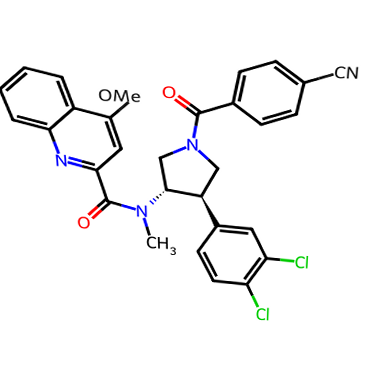 COc1cc(C(=O)N(C)[C@@H]2CN(C(=O)c3ccc(C#N)cc3)C[C@H]2c2ccc(Cl)c(Cl)c2)nc2ccccc12